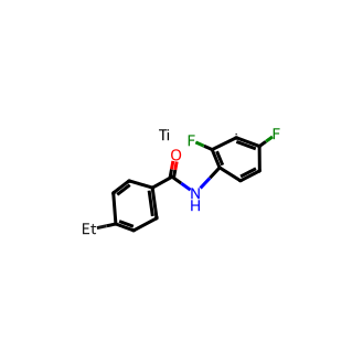 CCc1ccc(C(=O)Nc2ccc(F)[c]c2F)cc1.[Ti]